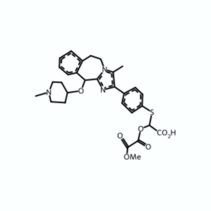 COC(=O)C(=O)OC(Sc1ccc(-c2nc3n(c2C)CCc2ccccc2C3OC2CCN(C)CC2)cc1)C(=O)O